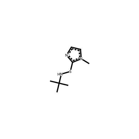 Cn1ccnc1SNC(C)(C)C